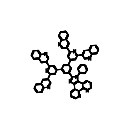 c1ccc(-n2c(-c3cc(-c4cc(-c5cnc6ccccc6c5)nc(-c5cnc6ccccc6c5)c4)cc(-c4cc(-c5cnc6ccccc6c5)nc(-c5cnc6ccccc6c5)c4)c3)nc3c4cccnc4c4ncccc4c32)cc1